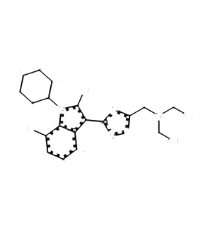 CCN(CC)Cc1nc(-c2c(C)n(C3CCCCC3)c3c(F)cccc23)ns1